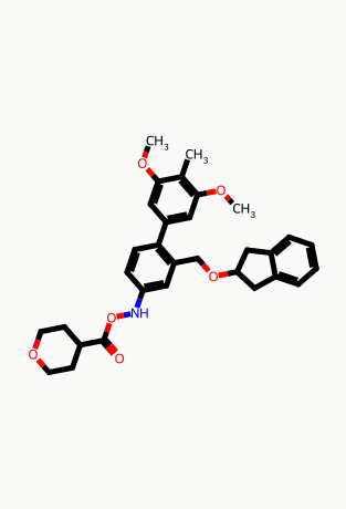 COc1cc(-c2ccc(NOC(=O)C3CCOCC3)cc2COC2Cc3ccccc3C2)cc(OC)c1C